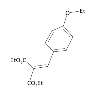 CCOC(=O)C(=Cc1ccc(OCC)cc1)C(=O)OCC